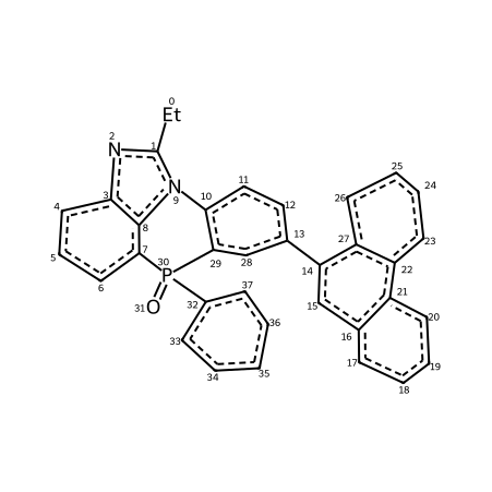 CCc1nc2cccc3c2n1-c1ccc(-c2cc4ccccc4c4ccccc24)cc1P3(=O)c1ccccc1